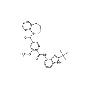 COc1cc(C(=O)N2CCCCc3ccccc32)ccc1C(=O)Nc1cccc2[nH]c(C(F)(F)F)nc12